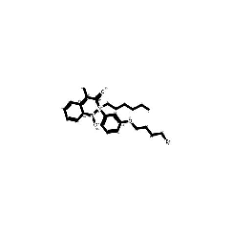 CCCCCC[N+]1(c2cccc(OCCCCBr)c2)C(=O)C(C)=C2C=CC=CC2[S+]1[O-]